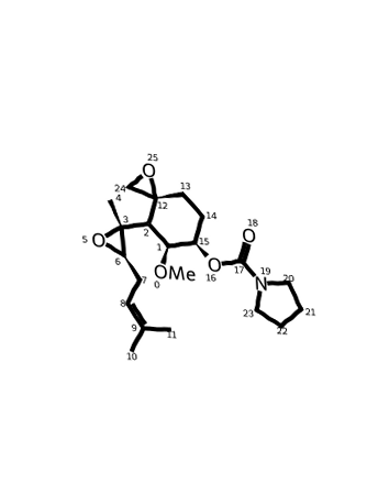 CO[C@H]1C([C@@]2(C)O[C@@H]2CC=C(C)C)[C@]2(CC[C@H]1OC(=O)N1CCCC1)CO2